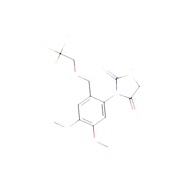 COc1cc(COCC(F)(F)F)c(N2C(=N)SCC2=O)cc1OC